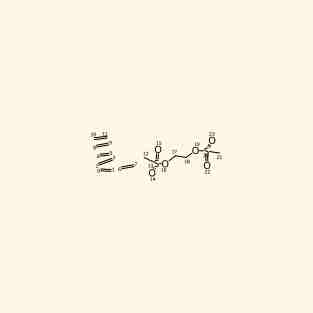 C=C.C=C.C=C.C=C.C=C.C=C.CS(=O)(=O)OCCOS(C)(=O)=O